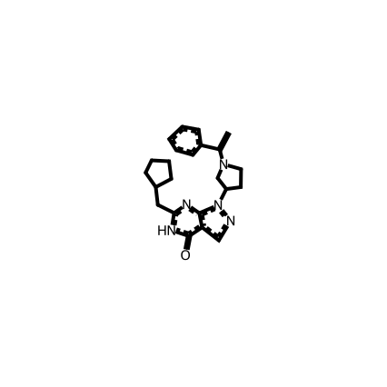 C=C(c1ccccc1)N1CCC(n2ncc3c(=O)[nH]c(CC4CCCC4)nc32)C1